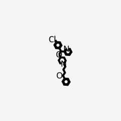 O=C(CCCN1CCC(OC(c2ccc(Cl)cc2)c2ccccn2)CC1)c1ccccc1